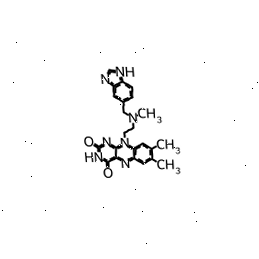 Cc1cc2nc3c(=O)[nH]c(=O)nc-3n(CCN(C)Cc3ccc4[nH]cnc4c3)c2cc1C